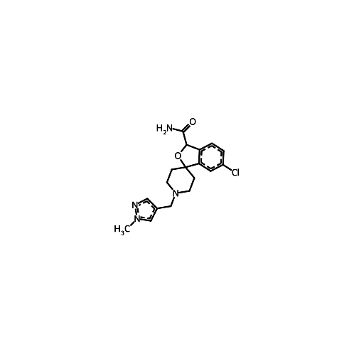 Cn1cc(CN2CCC3(CC2)OC(C(N)=O)c2ccc(Cl)cc23)cn1